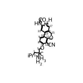 CC(C)CC(C)(N)COc1ccc2c(c1C#N)OCc1cnc(NC(=O)O)cc1-2